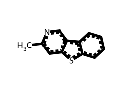 Cc1cc2sc3ccccc3c2cn1